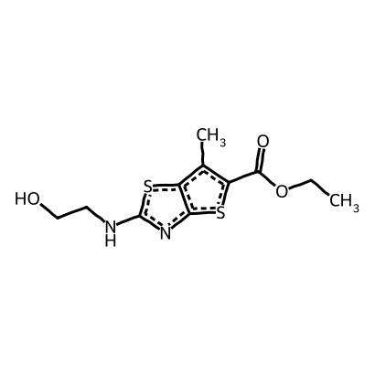 CCOC(=O)c1sc2nc(NCCO)sc2c1C